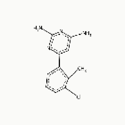 Cc1c(Cl)cccc1-c1cc(N)nc(N)n1